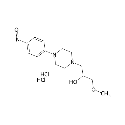 COCC(O)CN1CCN(c2ccc(N=O)cc2)CC1.Cl.Cl